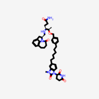 C[C@@H](OCc1ccc(CCCCCCc2ccc3c(c2)n(C)c(=O)n3C2CCC(=O)NC2=O)cc1)[C@H](CCC(N)=O)NC[C@@H]1Cc2cccc3c2N1C(=O)CCC3